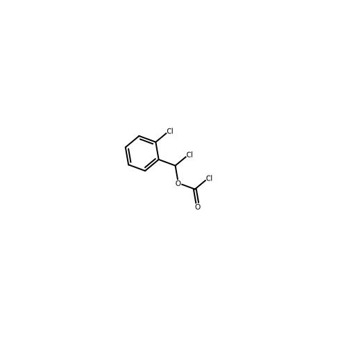 O=C(Cl)OC(Cl)c1ccccc1Cl